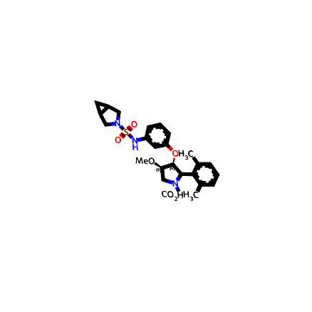 CO[C@@H]1CN(C(=O)O)C(c2c(C)cccc2C)[C@H]1Oc1cccc(NS(=O)(=O)N2CC3CC3C2)c1